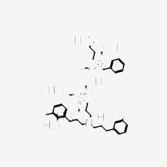 CCO[Si](CCCN(CCCc1cccc(Cl)c1O)CCCc1cccc(Cl)c1O)(OCC)OCC.CCO[Si](CCCN)(Cc1ccccc1)OCC